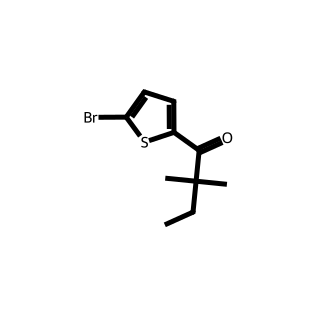 CCC(C)(C)C(=O)c1ccc(Br)s1